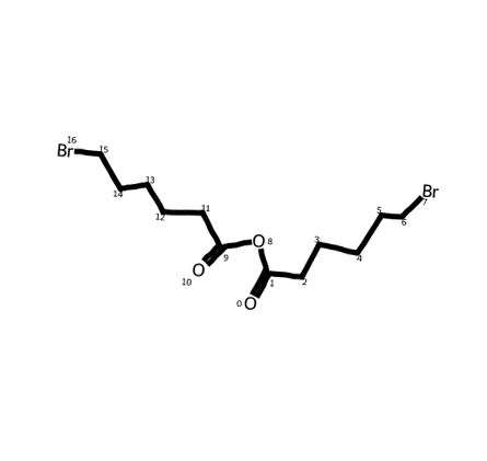 O=C(CCCCCBr)OC(=O)CCCCCBr